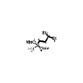 CCC(CC)CC[Si](C)(OC)OC